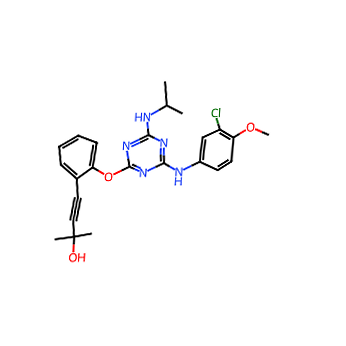 COc1ccc(Nc2nc(NC(C)C)nc(Oc3ccccc3C#CC(C)(C)O)n2)cc1Cl